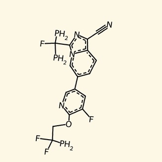 N#Cc1nc(C(F)(P)P)n2cc(-c3cnc(OCC(F)(F)P)c(F)c3)ccc12